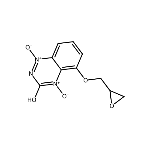 [O-][n+]1nc(O)[n+]([O-])c2c(OCC3CO3)cccc21